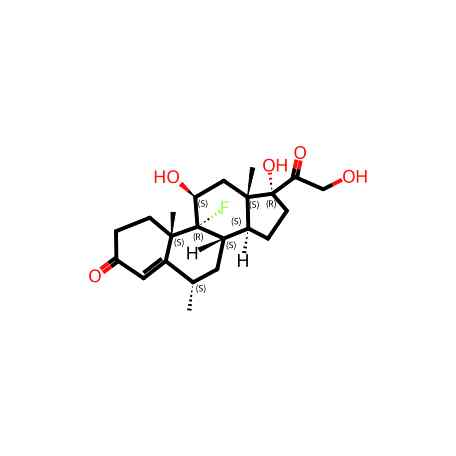 C[C@H]1C[C@H]2[C@@H]3CC[C@](O)(C(=O)CO)[C@@]3(C)C[C@H](O)[C@]2(F)[C@@]2(C)CCC(=O)C=C12